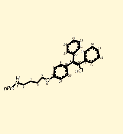 CCCNCCCCOc1ccc(/C(=C(\Cl)c2ccccc2)c2ccccc2)cc1